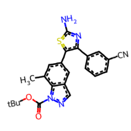 Cc1cc(-c2sc(N)nc2-c2cccc(C#N)c2)cc2cnn(C(=O)OC(C)(C)C)c12